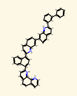 c1ccc(-c2cccc(-c3ccc4ccc(-c5ccc6ccc(-c7ccc(-c8ccc9ccc%10cccnc%10c9n8)c8ccccc78)nc6c5)cc4n3)c2)cc1